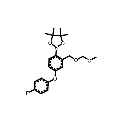 COCOCc1cc(Oc2ccc(F)cc2)ccc1B1OC(C)(C)C(C)(C)O1